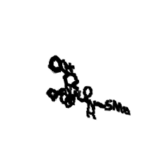 CSCCNC(=O)CN1CC2(CCC(c3ccccc3)(N(C)C)CC2)N(CC2(O)CCC2)C1=O